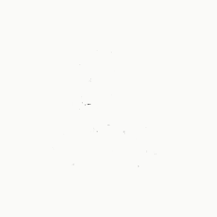 CCOC(CN(Cc1ccc2ccccc2c1)C(=O)[C@@H](N)Cc1ccccc1)OCC